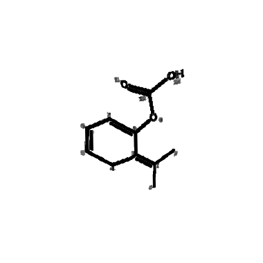 CC(C)=C1CC=CC=C1OC(=O)O